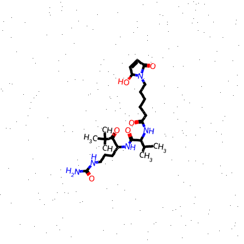 CC(C)C(NC(=O)CCCCCN1C(=O)C=CC1O)C(=O)NC(CCCNC(N)=O)C(=O)C(C)(C)C